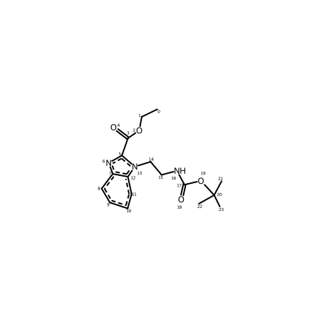 CCOC(=O)c1nc2ccccc2n1CCNC(=O)OC(C)(C)C